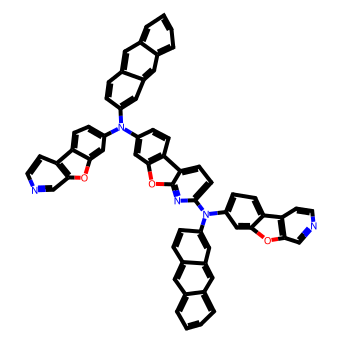 c1ccc2cc3cc(N(c4ccc5c(c4)oc4cnccc45)c4ccc5c(c4)oc4nc(N(c6ccc7cc8ccccc8cc7c6)c6ccc7c(c6)oc6cnccc67)ccc45)ccc3cc2c1